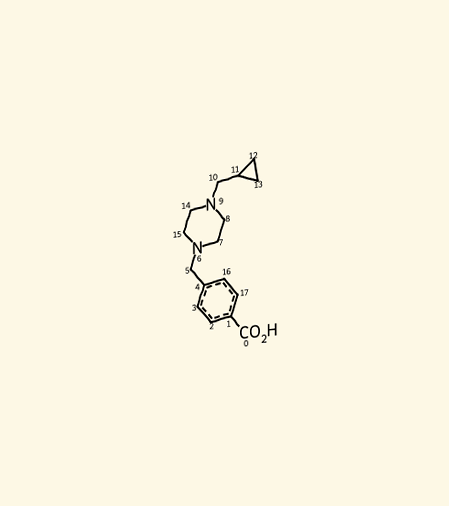 O=C(O)c1ccc(CN2CCN(CC3CC3)CC2)cc1